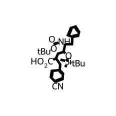 CC(C)(C)OC(=O)NC(Cc1ccccc1)C(CC(Cc1ccc(C#N)cc1)C(=O)O)O[Si](C)(C)C(C)(C)C